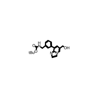 CC(C)(C)OC(=O)NCc1cccc(-c2cc(CO)cn3ccnc23)c1